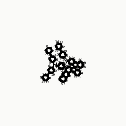 c1ccc(-c2ccc(N(c3ccc(-c4ccccc4)cc3)c3cccc(N(c4ccc(-c5ccccc5)cc4)c4ccc5c(c4)C4(c6ccccc6-5)c5ccccc5-c5c4ccc4cc6ccccc6cc54)c3)cc2)cc1